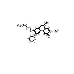 COCCCOc1cc2c(cc1-c1ccccn1)-c1cc(=O)c(C(=O)O)cn1C(C(C)C)C2